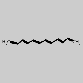 C=C/C=C/C=C/C=C/C=C/C=C